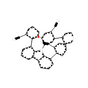 Cc1cc(C#N)c(-c2ccncc2)cc1-n1c2c(-c3ccccc3C#N)cccc2c2cccc(-c3ccccc3C#N)c21